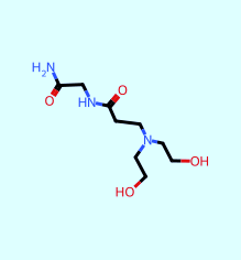 NC(=O)CNC(=O)CCN(CCO)CCO